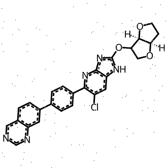 Clc1cc2[nH]c(OC3CO[C@@H]4CCO[C@H]34)nc2nc1-c1ccc(-c2ccc3cncnc3c2)cc1